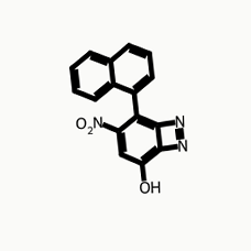 O=[N+]([O-])c1cc(O)c2c(c1-c1cccc3ccccc13)N=N2